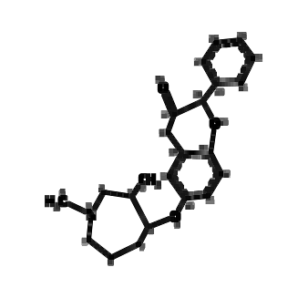 CC1CN(C)CCCC1Oc1ccc2c(c1)CC(=O)C(c1ccccc1)O2